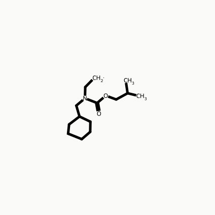 [CH2]CN(CC1CCCCC1)C(=O)OCC(C)C